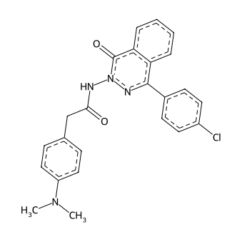 CN(C)c1ccc(CC(=O)Nn2nc(-c3ccc(Cl)cc3)c3ccccc3c2=O)cc1